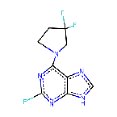 Fc1nc(N2CCC(F)(F)C2)c2nc[nH]c2n1